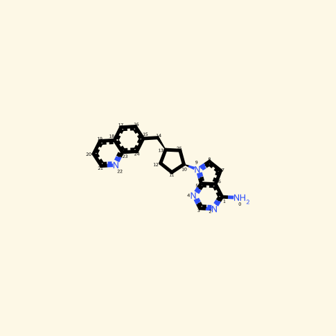 Nc1ncnc2c1ccn2[C@H]1CC[C@@H](Cc2ccc3cccnc3c2)C1